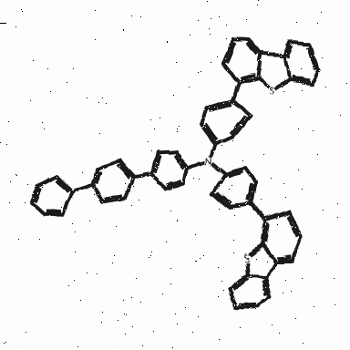 c1ccc(-c2ccc(-c3ccc(N(c4ccc(-c5cccc6c5sc5ccccc56)cc4)c4ccc(-c5cccc6c5sc5ccccc56)cc4)cc3)cc2)cc1